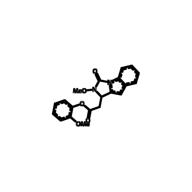 COc1ccccc1OC(=O)CC1c2cc3ccccc3n2C(=O)N1OC